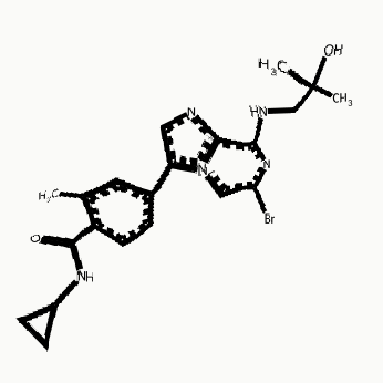 Cc1cc(-c2cnc3c(NCC(C)(C)O)nc(Br)cn23)ccc1C(=O)NC1CC1